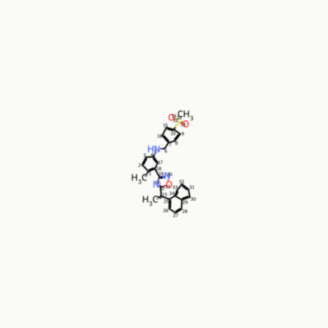 Cc1ccc(NCc2ccc(S(C)(=O)=O)cc2)cc1-c1noc(C(C)c2cccc3ccccc23)n1